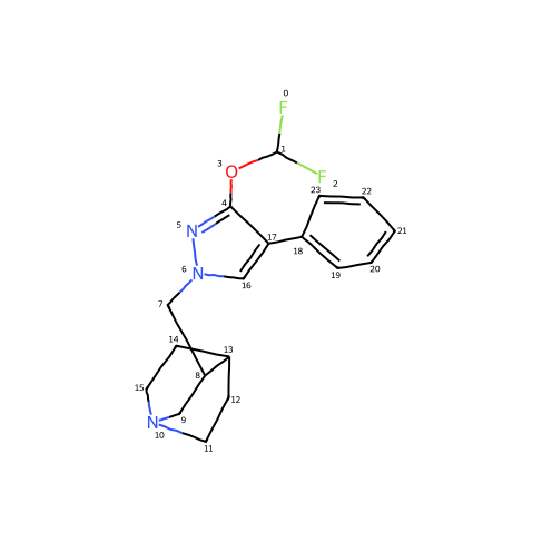 FC(F)Oc1nn(CC2CN3CCC2CC3)cc1-c1ccccc1